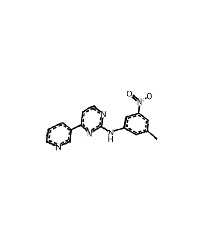 Cc1cc(Nc2nccc(-c3cccnc3)n2)cc([N+](=O)[O-])c1